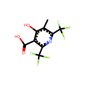 Cc1c(C(F)(F)F)nc(C(F)(F)F)c(C(=O)O)c1O